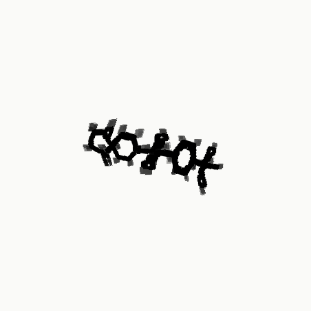 CS(=O)(=O)c1ccc(S(=O)(=O)N2CCC3(CC2)NCCO3)cc1